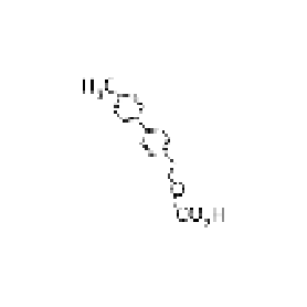 Cc1ccc(-c2ccc(CCOCC(=O)O)cc2)cc1